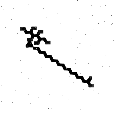 C1CO1.CCCCCCCCCCCCCCCCCC(=O)O.OCC(O)C(O)C(O)C(O)CO